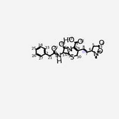 CN1OC(=O)CC1/C=C/C1=C(C(=O)O)N2C(=O)C(NC(=O)Cc3ccccc3)C2SC1